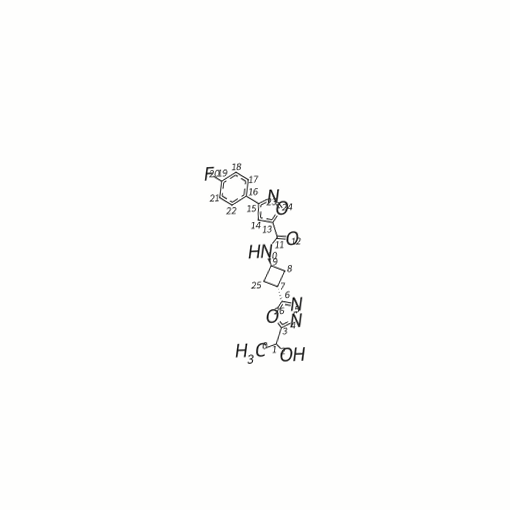 CC(O)c1nnc([C@H]2C[C@H](NC(=O)c3cc(-c4ccc(F)cc4)no3)C2)o1